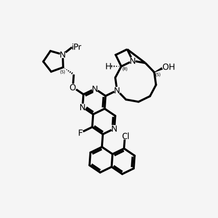 CC(C)N1CCC[C@H]1COc1nc(N2CCCC[C@H](O)C3C4C[C@H](C2)N43)c2cnc(-c3cccc4cccc(Cl)c34)c(F)c2n1